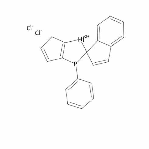 C1=CC2=[C](C1)[Hf+2][C]1(C=Cc3ccccc31)P2c1ccccc1.[Cl-].[Cl-]